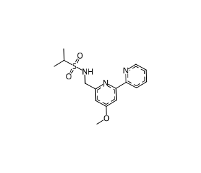 COc1cc(CNS(=O)(=O)C(C)C)nc(-c2ccccn2)c1